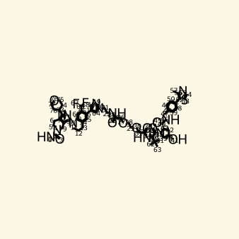 CNC(=O)N1CCc2c(c(N3CCCc4cc(-c5cnn(CCNC(=O)COCCOCC(=O)N[C@H](C(=O)N6C[C@H](O)C[C@H]6C(=O)NCc6ccc(-c7scnc7C)cc6)C(C)(C)C)c5)c(C(F)F)cc43)nn2C2CCOCC2)C1